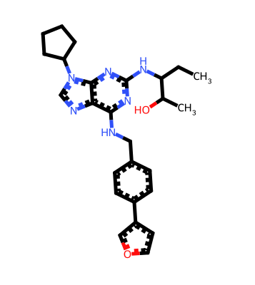 CCC(Nc1nc(NCc2ccc(-c3ccoc3)cc2)c2ncn(C3CCCC3)c2n1)C(C)O